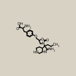 CCCC(C(=N)N)(C1CCNCC1)N1CC(COc2ccc(CC(N)C(=O)O)cc2)OC1=O